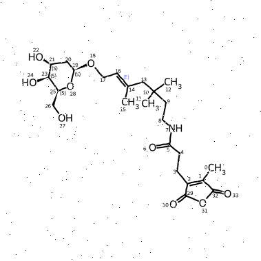 CC1=C(CCC(=O)NCCC(C)(C)C/C(C)=C/CO[C@@H]2C[C@H](O)[C@H](O)[C@H](CO)O2)C(=O)OC1=O